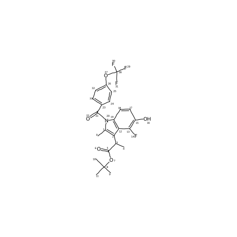 Cc1c(C(C)C(=O)OC(C)(C)C)c2c(F)c(O)ccc2n1C(=O)c1ccc(OC(F)(F)F)cc1